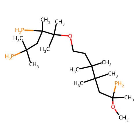 COC(C)(P)CC(C)(C)C(C)(C)CCOC(C)(C)C(C)(P)CC(C)(C)P